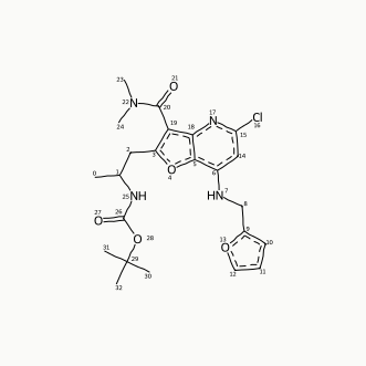 CC(Cc1oc2c(NCc3ccco3)cc(Cl)nc2c1C(=O)N(C)C)NC(=O)OC(C)(C)C